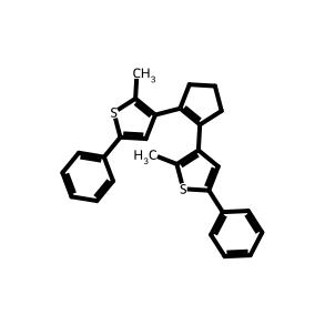 Cc1sc(-c2ccccc2)cc1C1=C(c2cc(-c3ccccc3)sc2C)CCC1